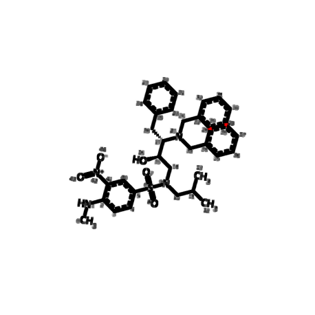 CNc1ccc(S(=O)(=O)N(CC(C)C)C[C@@H](O)[C@H](Cc2ccccc2)N(Cc2ccccc2)Cc2ccccc2)cc1[N+](=O)[O-]